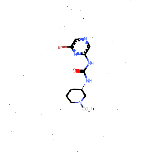 O=C(Nc1cncc(Br)n1)N[C@H]1CCCN(C(=O)O)C1